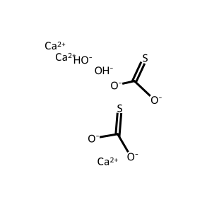 [Ca+2].[Ca+2].[Ca+2].[O-]C([O-])=S.[O-]C([O-])=S.[OH-].[OH-]